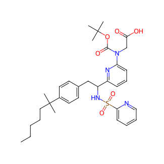 CCCCCC(C)(C)c1ccc(CC(NS(=O)(=O)c2ccccn2)c2cccc(N(CC(=O)O)C(=O)OC(C)(C)C)n2)cc1